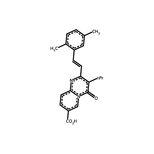 CCCc1c(C=Cc2cc(C)ccc2C)nc2ccc(C(=O)O)cn2c1=O